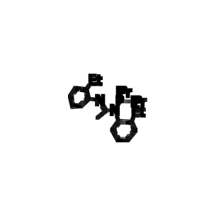 CCc1ccccc1N=C(C)N(c1ccccc1CC)P(C(C)C)C(C)C